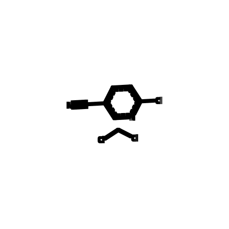 ClCCl.N#Cc1ccc(Cl)nc1